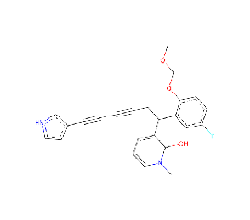 COCOc1ccc(F)cc1C(CC#CC#Cc1cc[nH]c1)C1=CC=CN(C)C1O